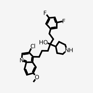 COc1ccc2ncc(Cl)c(CCCC(O)(CCc3cc(F)cc(F)c3)C3CCNCC3)c2c1